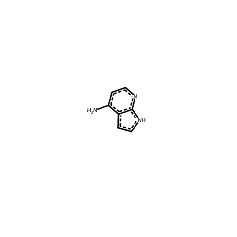 Nc1[c]cnc2[nH]ccc12